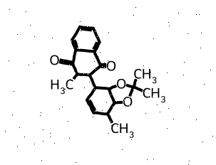 CC1C=CC(C2C(=O)c3ccccc3C(=O)C2C)C2OC(C)(C)OC12